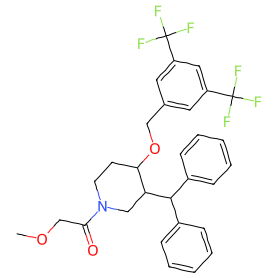 COCC(=O)N1CCC(OCc2cc(C(F)(F)F)cc(C(F)(F)F)c2)C(C(c2ccccc2)c2ccccc2)C1